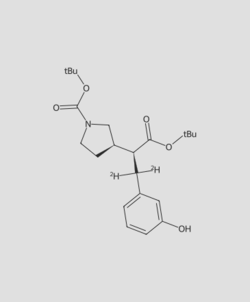 [2H]C([2H])(c1cccc(O)c1)[C@H](C(=O)OC(C)(C)C)[C@H]1CCN(C(=O)OC(C)(C)C)C1